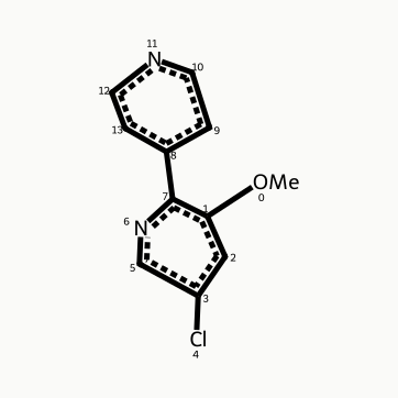 COc1cc(Cl)cnc1-c1ccncc1